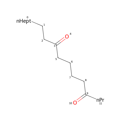 CCCCCCCCCC(=O)CCCCC(=O)CCC